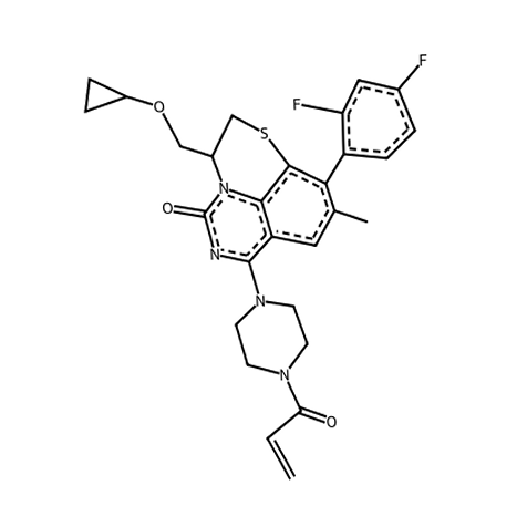 C=CC(=O)N1CCN(c2nc(=O)n3c4c(c(-c5ccc(F)cc5F)c(C)cc24)SCC3COC2CC2)CC1